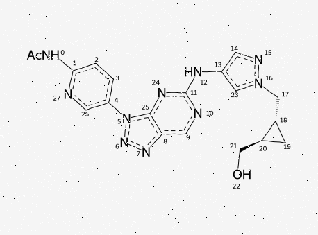 CC(=O)Nc1ccc(-n2nnc3cnc(Nc4cnn(C[C@@H]5C[C@H]5CO)c4)nc32)cn1